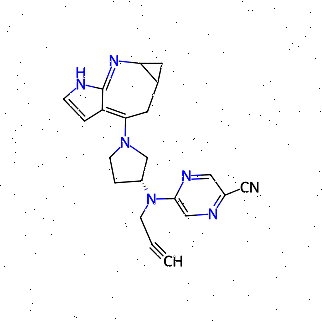 C#CCN(c1cnc(C#N)cn1)[C@@H]1CCN(C2=c3cc[nH]c3=NC3CC3C2)C1